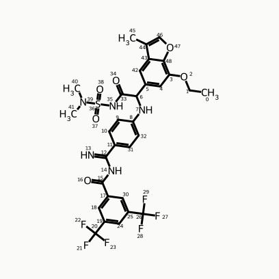 CCOc1cc(C(Nc2ccc(C(=N)NC(=O)c3cc(C(F)(F)F)cc(C(F)(F)F)c3)cc2)C(=O)NS(=O)(=O)N(C)C)cc2c(C)coc12